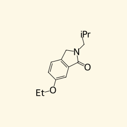 CCOc1ccc2c(c1)C(=O)N(CC(C)C)C2